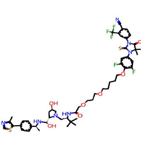 Cc1ncsc1-c1ccc([C@H](C)NC(O)[C@@H]2C[C@@H](O)CN2C[C@@H](NC(=O)COCCCOCCCCCOc2c(F)cc(N3C(=S)N(c4ccc(C#N)c(C(F)(F)F)c4)C(=O)C3(C)C)cc2F)C(C)(C)C)cc1